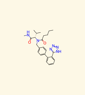 CCCCC(=O)N(Cc1ccc(-c2ccccc2-c2nnn[nH]2)cc1)[C@H](C(=O)NC)C(C)C